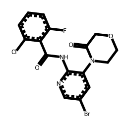 O=C(Nc1ncc(Br)cc1N1CCOCC1=O)c1c(F)cccc1Cl